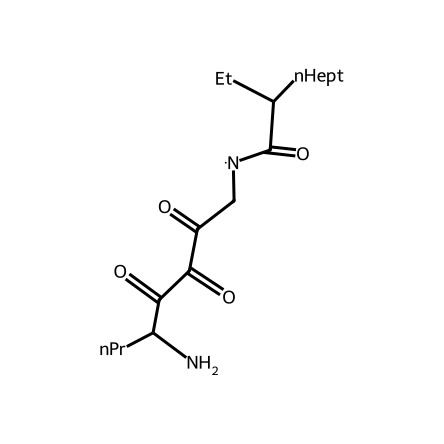 CCCCCCCC(CC)C(=O)[N]CC(=O)C(=O)C(=O)C(N)CCC